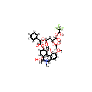 COc1ccc2c3c1O[C@H]1C(OC(=O)[C@@H](OC(=O)C[C@H](OC(C)=O)C(=O)OC(=O)C(F)(F)F)c4ccccc4)=CC[C@@]4(O)[C@@H](C2)N(C)CC[C@]314